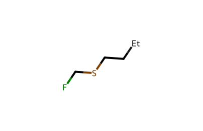 CCCCSCF